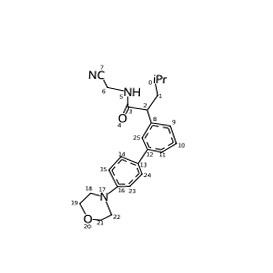 CC(C)CC(C(=O)NCC#N)c1cccc(-c2ccc(N3CCOCC3)cc2)c1